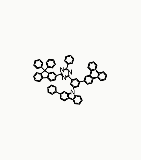 c1ccc(-c2ccc3c4ccccc4n(-c4cc(-c5ccc6c7ccccc7c7ccccc7c6c5)cc(-c5nc(-c6ccccc6)nc(-c6ccc7c(c6)C(c6ccccc6)(c6ccccc6)c6ccccc6-7)n5)c4)c3c2)cc1